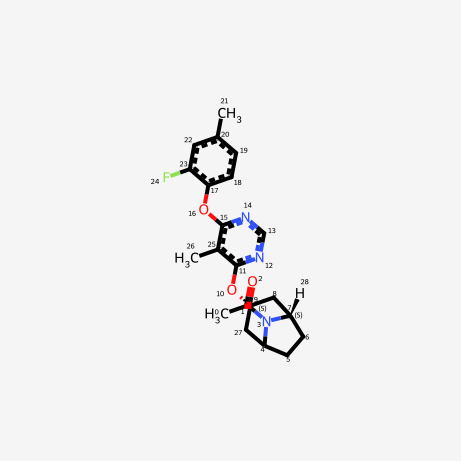 CC(=O)N1C2CC[C@H]1C[C@@H](Oc1ncnc(Oc3ccc(C)cc3F)c1C)C2